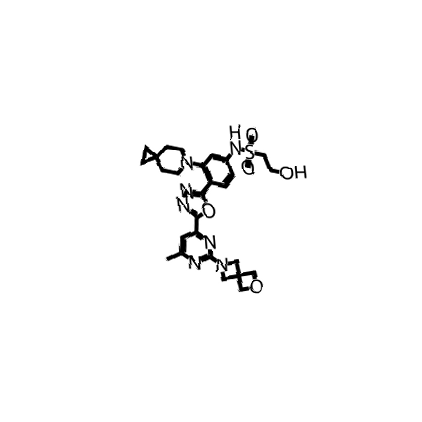 Cc1cc(-c2nnc(-c3ccc(NS(=O)(=O)CCO)cc3N3CCC4(CC3)CC4)o2)nc(N2CC3(COC3)C2)n1